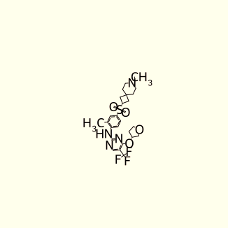 Cc1cc(S(=O)(=O)C2CC3(CCN(C)CC3)C2)ccc1Nc1ncc(C(F)(F)F)c(OC2CCOC2)n1